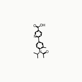 CC(=O)N(c1ccc(-c2ccc(C(=O)O)cn2)cc1C)C(C)C